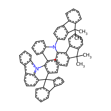 CC1(C)c2ccccc2-c2ccc(N(c3ccccc3-c3cccc4c3-n3c5ccccc5c5cccc(c53)C43c4ccccc4-c4ccccc43)c3cccc4c3-c3ccccc3C4(C)C)cc21